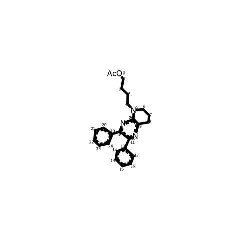 CC(=O)OCCCCN1CCCc2nc(-c3ccccc3)c(-c3ccccc3)nc21